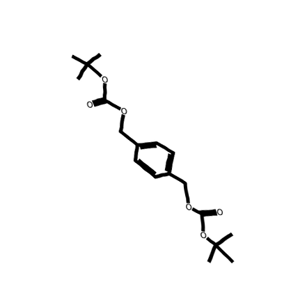 CC(C)(C)OC(=O)OCc1ccc(COC(=O)OC(C)(C)C)cc1